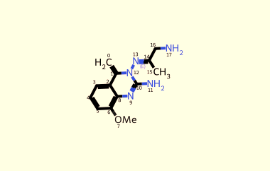 C=C1c2cccc(OC)c2N=C(N)N1/N=C(\C)CN